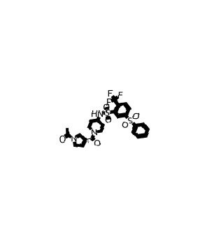 CC(=O)N1CC[C@@H](C(=O)N2CCC(NS(=O)(=O)c3cc(S(=O)(=O)c4ccccc4)ccc3C(F)(F)F)CC2)C1